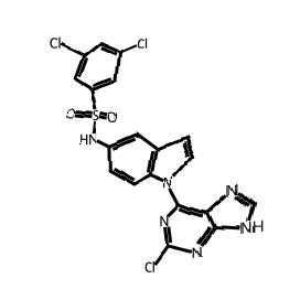 O=S(=O)(Nc1ccc2c(ccn2-c2nc(Cl)nc3[nH]cnc23)c1)c1cc(Cl)cc(Cl)c1